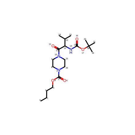 CCCCOC(=O)N1CCN(C(=O)C(NC(=O)OC(C)(C)C)C(C)C)CC1